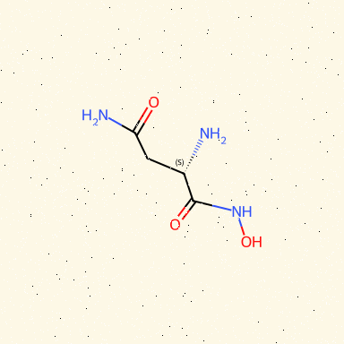 NC(=O)C[C@H](N)C(=O)NO